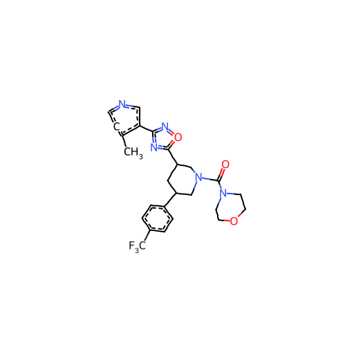 Cc1ccncc1-c1noc(C2CC(c3ccc(C(F)(F)F)cc3)CN(C(=O)N3CCOCC3)C2)n1